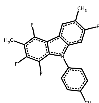 Cc1ccc(-n2c3cc(F)c(C)cc3c3c(F)c(C)c(F)c(F)c32)cc1